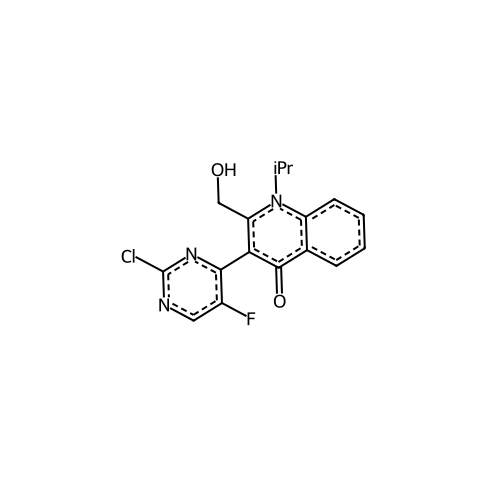 CC(C)n1c(CO)c(-c2nc(Cl)ncc2F)c(=O)c2ccccc21